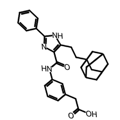 O=C(O)Cc1cccc(NC(=O)c2nc(-c3ccccc3)[nH]c2CCC23CC4CC(CC(C4)C2)C3)c1